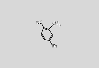 Cc1cc(C(C)C)ccc1C#N